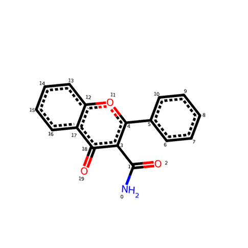 NC(=O)c1c(-c2ccccc2)oc2ccccc2c1=O